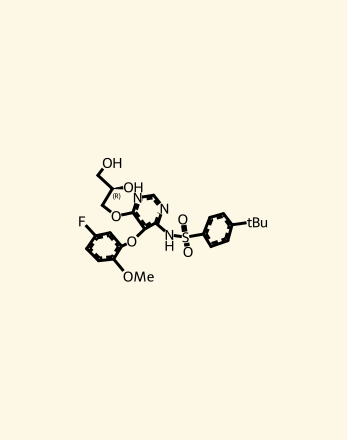 COc1ccc(F)cc1Oc1c(NS(=O)(=O)c2ccc(C(C)(C)C)cc2)ncnc1OC[C@H](O)CO